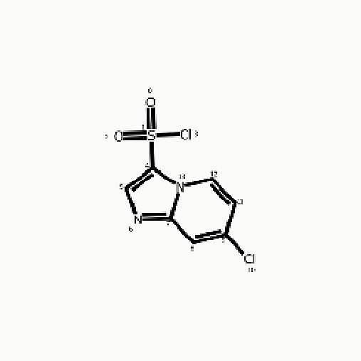 O=S(=O)(Cl)c1cnc2cc(Cl)ccn12